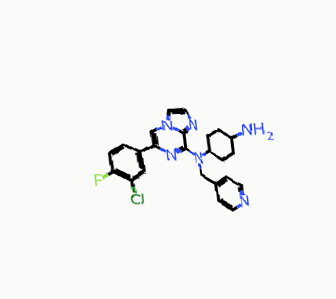 NC1CCC(N(Cc2ccncc2)c2nc(-c3ccc(F)c(Cl)c3)cn3ccnc23)CC1